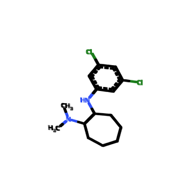 CN(C)C1CCCCCC1Nc1cc(Cl)cc(Cl)c1